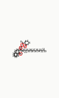 CC(=O)C1CCCCC1=O.CCCCCCCCCCCCCCCC(=O)C1CCc2ccccc2C1=O